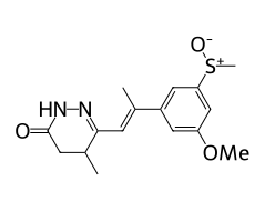 COc1cc(C(C)=CC2=NNC(=O)CC2C)cc([S+](C)[O-])c1